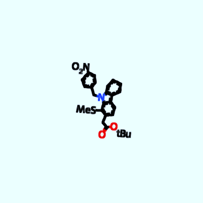 CSc1c(CC(=O)OC(C)(C)C)ccc2c3ccccc3n(Cc3ccc([N+](=O)[O-])cc3)c12